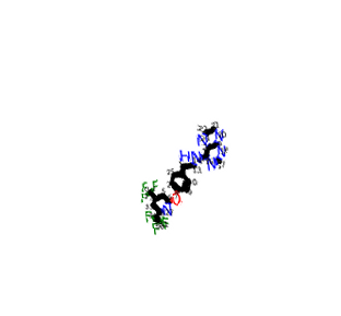 FC(F)(F)c1cc(Oc2ccc(CCNc3ncnc4nccnc34)cc2)nc(C(F)(F)F)c1